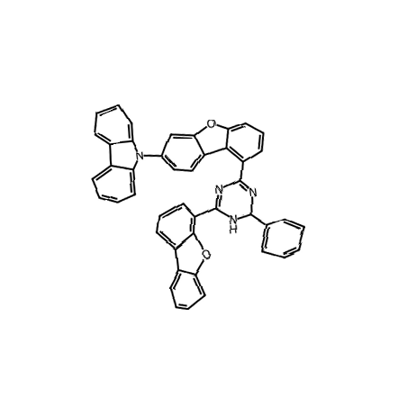 c1ccc(C2N=C(c3cccc4oc5cc(-n6c7ccccc7c7ccccc76)ccc5c34)N=C(c3cccc4c3oc3ccccc34)N2)cc1